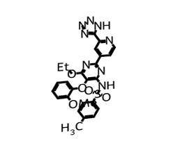 [CH2]COc1nc(-c2ccnc(-c3nnn[nH]3)c2)nc(NS(=O)(=O)c2ccc(C)cc2)c1Oc1ccccc1OC